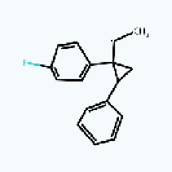 C[CH]C1(c2ccc(F)cc2)CC1c1ccccc1